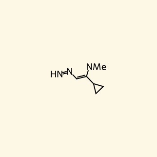 CN/C(=C\N=N)C1CC1